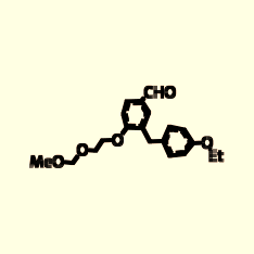 CCOc1ccc(Cc2cc(C=O)ccc2OCCOCOC)cc1